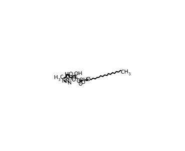 CCCCCCCCCCCCCCCCCOCCOP(=O)(O)OC[C@H]1O[C@@](C#N)(c2ccc3c(C)ncnn23)[C@H](O)[C@@H]1O